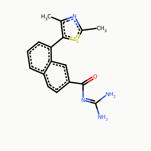 Cc1nc(C)c(-c2cccc3ccc(C(=O)N=C(N)N)cc23)s1